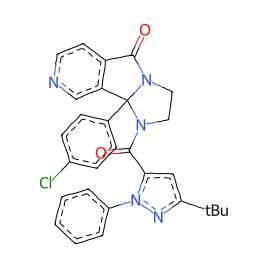 CC(C)(C)c1cc(C(=O)N2CCN3C(=O)c4ccncc4C32c2ccc(Cl)cc2)n(-c2ccccc2)n1